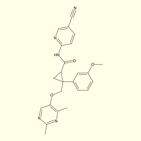 COc1cccc(C2(COc3cnc(C)nc3C)CC2C(=O)Nc2ccc(C#N)cn2)c1